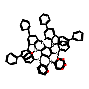 c1ccc(-c2ccc3c(c2)-c2cc(-c4ccccc4)cc4c2B3c2c3c(c(N(c5ccccc5)c5ccccc5)c(N(c5ccccc5)c5ccccc5)c2N(c2ccccc2)c2ccccc2)B2c5ccc(-c6ccccc6)cc5-c5cc(-c6ccccc6)cc(c52)N43)cc1